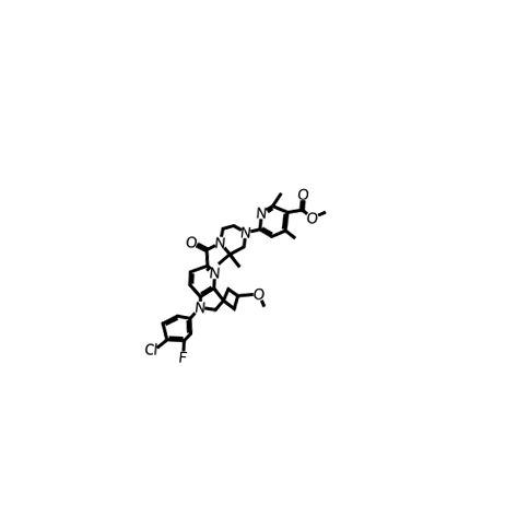 COC(=O)c1c(C)cc(N2CCN(C(=O)c3ccc4c(n3)C3(CC(OC)C3)CN4c3ccc(Cl)c(F)c3)C(C)(C)C2)nc1C